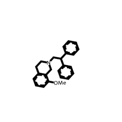 COc1cccc2c1CN(CC(c1ccccc1)c1ccccc1)CC2